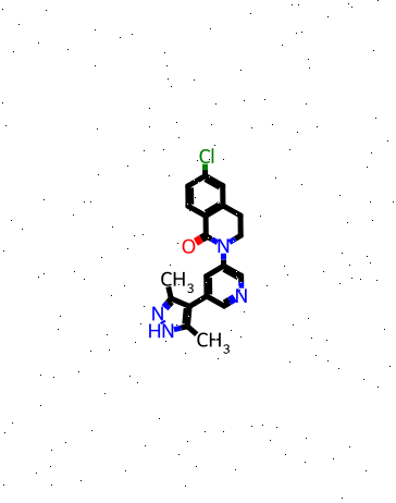 Cc1n[nH]c(C)c1-c1cncc(N2CCc3cc(Cl)ccc3C2=O)c1